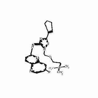 C[Si](C)(C)CCOCn1nc(C2CCCC2)sc1=Nc1ccc2ncc(Br)cc2n1